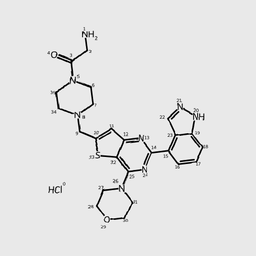 Cl.NCC(=O)N1CCN(Cc2cc3nc(-c4cccc5[nH]ncc45)nc(N4CCOCC4)c3s2)CC1